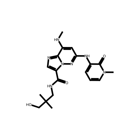 CNc1cc(Nc2cccn(C)c2=O)nn2c(C(=O)NCC(C)(C)CO)cnc12